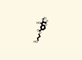 CCOc1c(O)c2cc(C(=O)OCCCCO)ccc2oc1=O